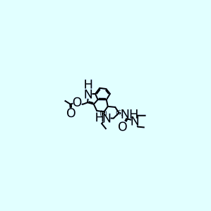 CCN(CC)C(=O)N[C@H]1CC2c3cccc4[nH]c(COC(C)=O)c(c34)C[C@H]2N(CC)C1